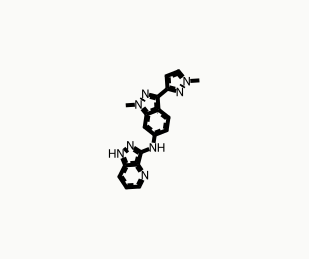 Cn1ccc(-c2nn(C)c3cc(Nc4n[nH]c5cccnc45)ccc23)n1